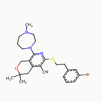 CN1CCCN(c2nc(SCCc3cccc(Br)c3)c(C#N)c3c2COC(C)(C)C3)CC1